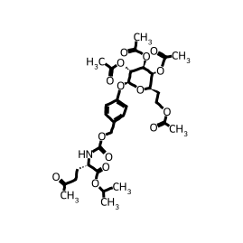 CC(=O)CC[C@H](NC(=O)OCc1ccc(O[C@@H]2O[C@H](CCOC(C)=O)[C@@H](OC(C)=O)[C@H](OC(C)=O)[C@H]2OC(C)=O)cc1)C(=O)OC(C)C